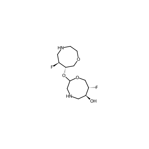 O[C@H]1CNCC(O[C@H]2COCCNC[C@@H]2F)OC[C@@H]1F